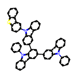 c1ccc(-n2c3ccccc3c3cc(-c4cc(-c5ccc6c(c5)c5ccccc5n6-c5ccc6sc7ccccc7c6c5)c5c(c4)c4ccccc4n5-c4ccccc4)ccc32)cc1